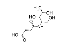 C[C@@H](O)[C@@H](O)[C@H](CO)NC(=O)/C=C/C(=O)O